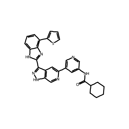 O=C(Nc1cncc(-c2cc3c(-c4nc5c(-c6cccs6)cccc5[nH]4)n[nH]c3cn2)c1)C1CCCCC1